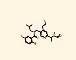 CCCc1cc(C(C)NC=O)nnc1CN(CC(C)C)C(=O)c1cc(F)ccc1F